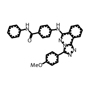 COc1ccc(-c2nnc3c4ccccc4c(Nc4ccc(C(=O)Nc5ccccc5)cc4)nn23)cc1